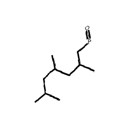 CC(C)CC(C)CC(C)CP=O